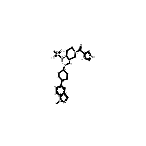 Cn1ncc2cc(C3CCC(OC[C@@H]4CN(C(=O)c5cncs5)CC[C@@H]4NS(C)(=O)=O)CC3)ccc21